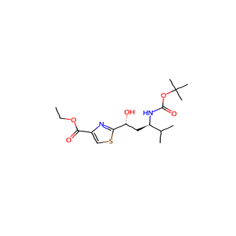 CCOC(=O)c1csc([C@H](O)C[C@@H](NC(=O)OC(C)(C)C)C(C)C)n1